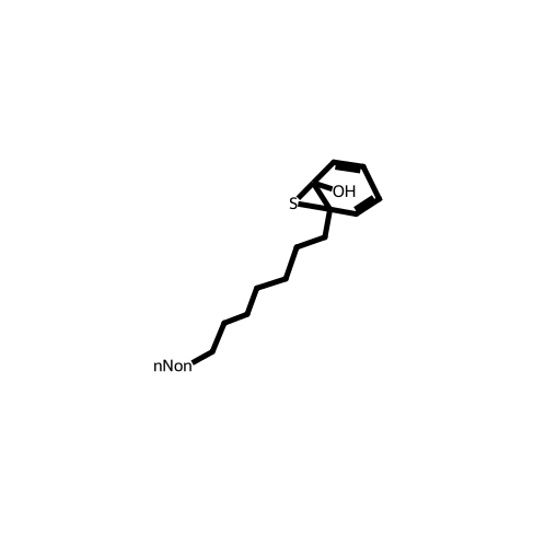 CCCCCCCCCCCCCCCCC12C=CC=CC1(O)S2